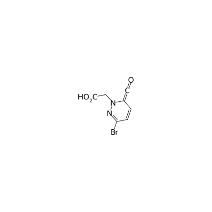 O=C=C1C=CC(Br)=NN1CC(=O)O